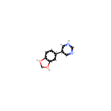 [c]1ncc(-c2ccc3c(c2)OCO3)cn1